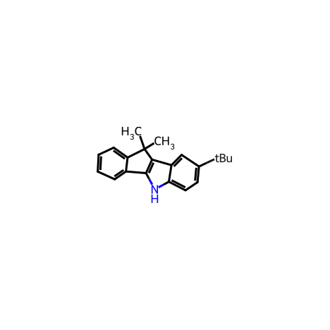 CC(C)(C)c1ccc2[nH]c3c(c2c1)C(C)(C)c1ccccc1-3